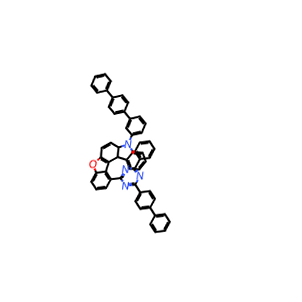 C1=CC2C(c3ccccc3N2c2cccc(-c3ccc(-c4ccccc4)cc3)c2)c2c1oc1cccc(-c3nc(-c4ccccc4)nc(-c4ccc(-c5ccccc5)cc4)n3)c21